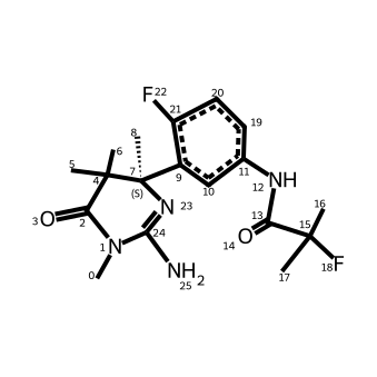 CN1C(=O)C(C)(C)[C@@](C)(c2cc(NC(=O)C(C)(C)F)ccc2F)N=C1N